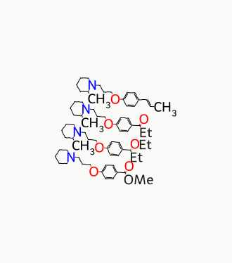 CC=Cc1ccc(OCCCN2CCCCC2C)cc1.CCC(=O)c1ccc(OCCCN2CCCCC2C)cc1.CCOC(CC)c1ccc(OCCCN2CCCCC2C)cc1.COC(=O)c1ccc(OCCCN2CCCCC2)cc1